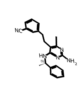 Cc1nc(N)nc(N[C@@H](C)c2ccccc2)c1CCc1cccc(C#N)c1